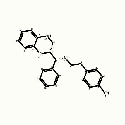 N#Cc1ccc(CCN[C@H](c2ccccc2)[C@H]2CNc3cccnc3S2)cc1